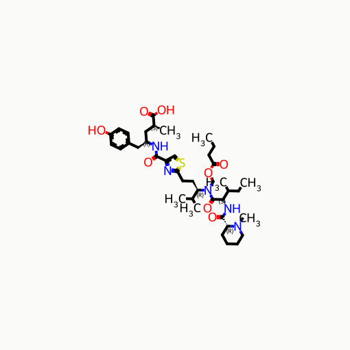 CCCC(=O)OCN(C(=O)[C@@H](NC(=O)[C@H]1CCCCN1C)C(C)CC)[C@H](CCc1nc(C(=O)N[C@@H](Cc2ccc(O)cc2)C[C@H](C)C(=O)O)cs1)C(C)C